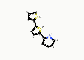 c1ccc(-c2ccc(-c3cccs3)s2)nc1